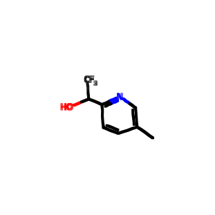 Cc1ccc(C(O)C(F)(F)F)nc1